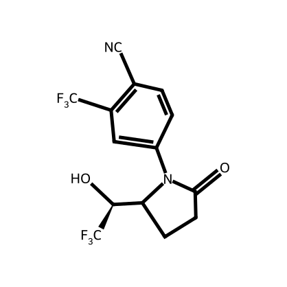 N#Cc1ccc(N2C(=O)CCC2[C@H](O)C(F)(F)F)cc1C(F)(F)F